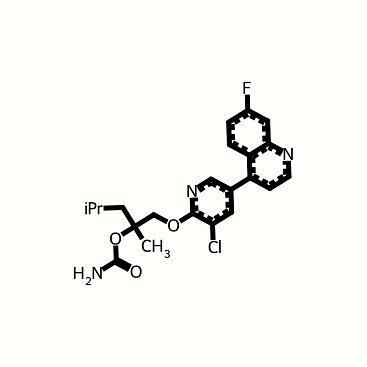 CC(C)CC(C)(COc1ncc(-c2ccnc3cc(F)ccc23)cc1Cl)OC(N)=O